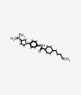 CCCCCC1CCC(C(=O)Nc2ccc(N3CCC(N(C)C)C3)cc2)CC1